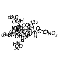 C=C(C)OC(=O)N[C@H]1C[C@H](CN[C@@H]2CC=C(CNC(=O)OCc3ccc([N+](=O)[O-])cc3)O[C@@H]2C2[C@@H](NC(=O)OC(C)(C)C)C[C@@H](NC(=O)[C@@H](O)CCNC(=O)OC(C)(C)C)[C@H](O[C@H]3OC[C@](C)(O)[C@H](N(C)C(=O)OC(C)(C)C)[C@H]3O)[C@H]2O)C1